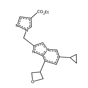 CCOC(=O)c1cnn(Cc2cn3cc(C4CC4)cc(C4COC4)c3n2)c1